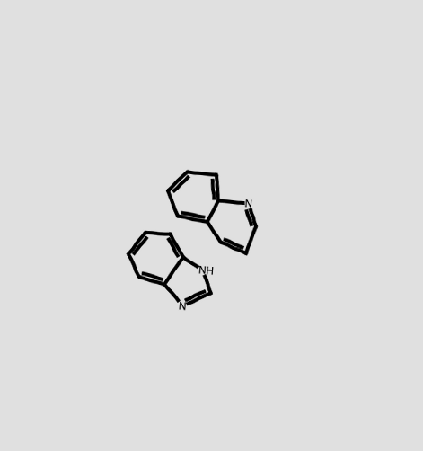 c1ccc2[nH]cnc2c1.c1ccc2ncccc2c1